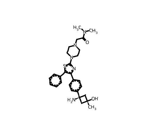 CN(C)C(=O)CN1CCN(c2nc(-c3ccc([C@]4(N)C[C@](C)(O)C4)cc3)c(-c3ccccc3)s2)CC1